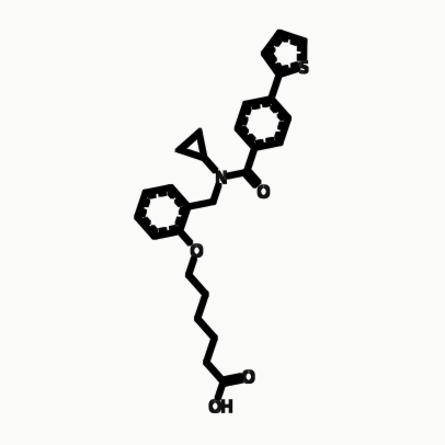 O=C(O)CCCCCOc1ccccc1CN(C(=O)c1ccc(-c2cccs2)cc1)C1CC1